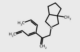 C=C/C=C(\C=C/C)C(=C)CN1CC2CCCC2(C)C1